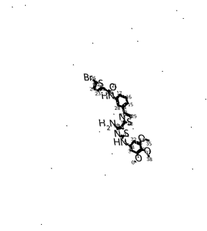 COc1cc(Nc2nc(N)c(-c3nc(-c4cccc(NC(=O)c5ccc(Br)s5)c4)cs3)s2)cc(OC)c1OC